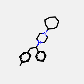 Cc1ccc(CC(c2ccccc2)N2CCN(C3CCCCCCC3)CC2)cc1